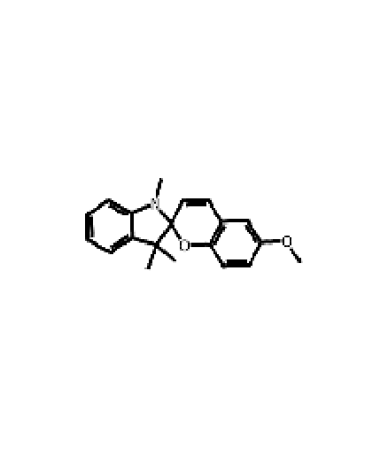 COc1ccc2c(c1)C=CC1(O2)N(C)c2ccccc2C1(C)C